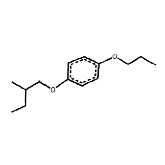 CCCOc1ccc(OCC(C)CC)cc1